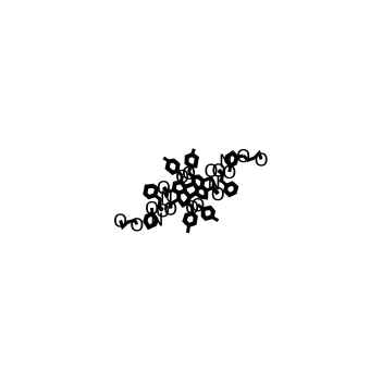 Cc1ccc(Oc2cc3c4c(cc(Oc5ccc(C)cc5)c5c6c(Oc7ccc(C)cc7)cc7c8c(cc(Oc9ccc(C)cc9)c(c2c45)c86)C(=O)N(C(C(=O)Oc2cc(OCC4CO4)ccn2)c2ccccc2)C7=O)C(=O)N(C(C(=O)Oc2cc(OCC4CO4)ccn2)c2ccccc2)C3=O)cc1